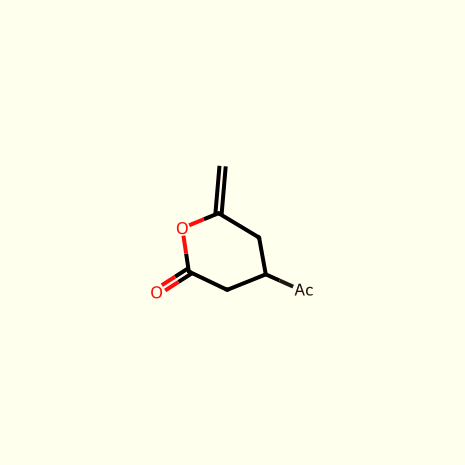 C=C1CC(C(C)=O)CC(=O)O1